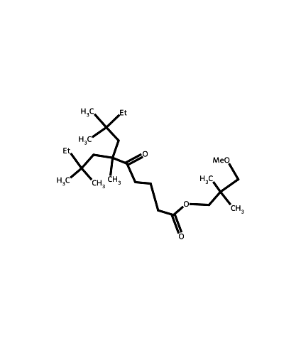 CCC(C)(C)CC(C)(CC(C)(C)CC)C(=O)CCCC(=O)OCC(C)(C)COC